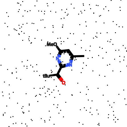 COc1cc(C)nc(C(=O)C(C)(C)C)n1